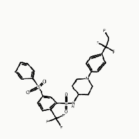 O=S(=O)(NC1CCN(c2ccc(C(F)(F)CF)cc2)CC1)c1cc(S(=O)(=O)c2ccccc2)ccc1C(F)(F)F